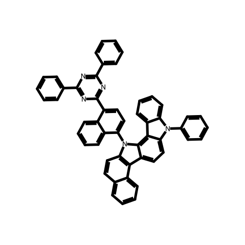 c1ccc(-c2nc(-c3ccccc3)nc(-c3ccc(-n4c5ccc6ccccc6c5c5ccc6c(c7ccccc7n6-c6ccccc6)c54)c4ccccc34)n2)cc1